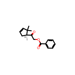 CC1(C)C=CC[C@]1(C)C(=O)COC(=O)c1ccccc1